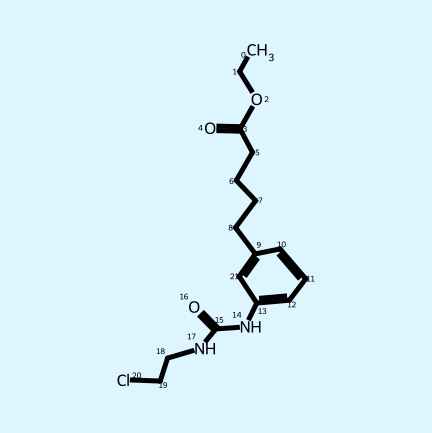 CCOC(=O)CCCCc1cccc(NC(=O)NCCCl)c1